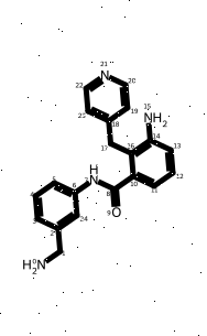 NCc1cccc(NC(=O)c2cccc(N)c2Cc2ccncc2)c1